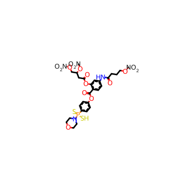 O=C(CCCO[N+](=O)[O-])Nc1ccc(C(=O)Oc2ccc(P(=S)(S)N3CCOCC3)cc2)c(OC(=O)CC(CO[N+](=O)[O-])O[N+](=O)[O-])c1